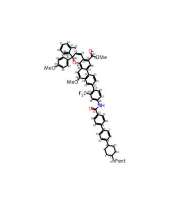 CCCCCC1CCC(c2ccc(-c3ccc(C(=O)Nc4ccc(-c5ccc6c(c5)c(OC)cc5c7c(c(C(=O)OC)cc56)C=CC(c5ccc(OC)cc5)(c5ccccc5F)O7)c(C(F)(F)F)c4)cc3)cc2)CC1